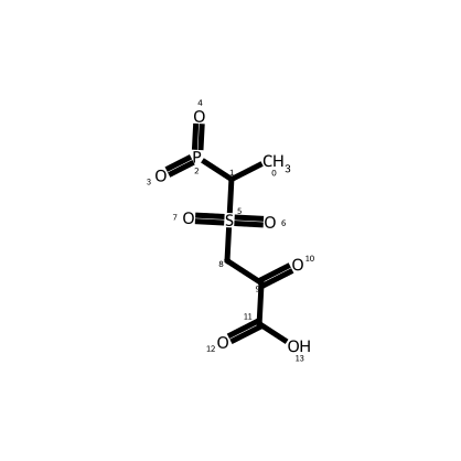 CC(P(=O)=O)S(=O)(=O)CC(=O)C(=O)O